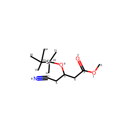 COC(=O)CC(CC#N)O[Si](C)(C)C(C)(C)C